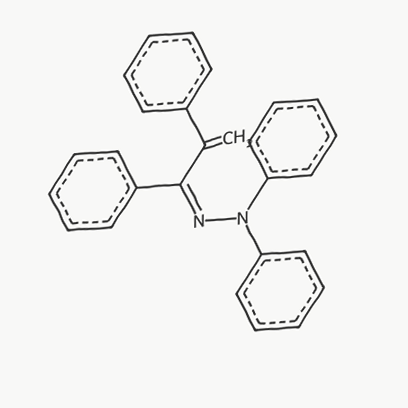 C=C(C(=NN(c1ccccc1)c1ccccc1)c1ccccc1)c1ccccc1